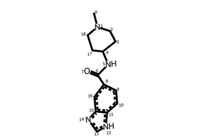 CN1CCC(NC(=O)c2ccc3[nH]cnc3c2)CC1